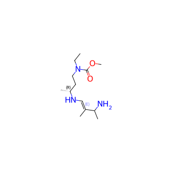 CCN(CC[C@@H](C)N/C=C(\C)C(C)N)C(=O)OC